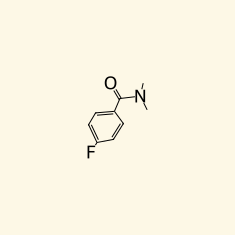 CN(C)C(=O)c1ccc(F)cc1